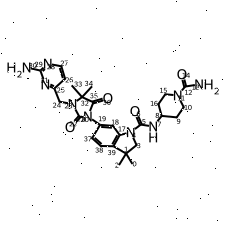 CC1(C)CN(C(=O)NC2CCN(C(N)=O)CC2)c2cc(N3C(=O)N(Cc4ccnc(N)n4)C(C)(C)C3=O)ccc21